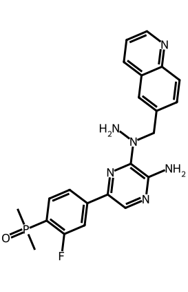 CP(C)(=O)c1ccc(-c2cnc(N)c(N(N)Cc3ccc4ncccc4c3)n2)cc1F